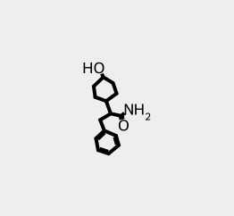 NC(=O)C(Cc1ccccc1)C1CCC(O)CC1